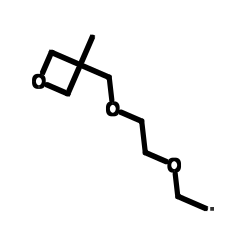 [CH2]COCCOCC1(C)COC1